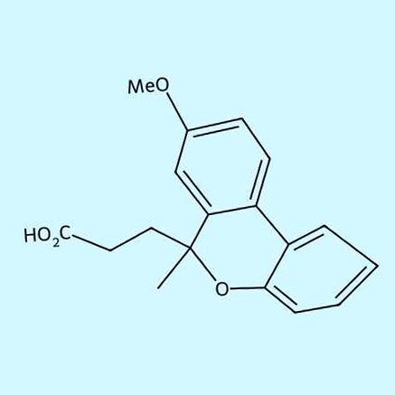 COc1ccc2c(c1)C(C)(CCC(=O)O)Oc1ccccc1-2